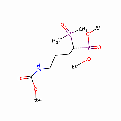 CCOP(=O)(OCC)C(CCCNC(=O)OC(C)(C)C)P(C)(C)=O